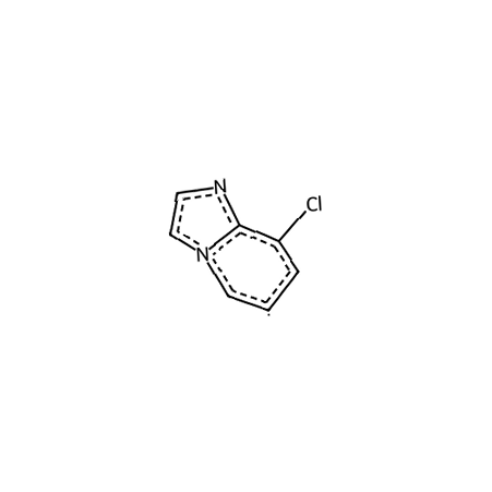 Clc1c[c]cn2ccnc12